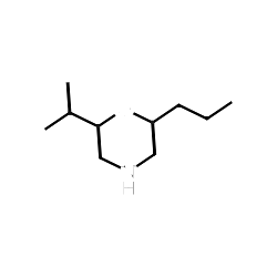 CCCC1CNCC(C(C)C)O1